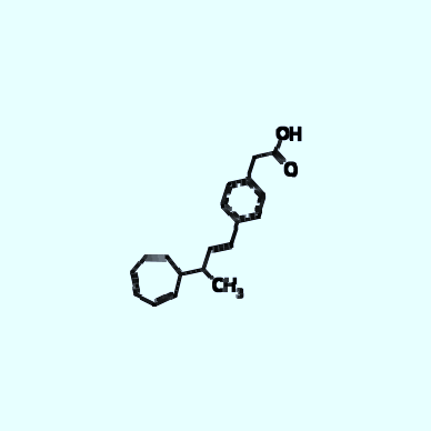 CC(/C=C/c1ccc(CC(=O)O)cc1)C1C=CC=CC=C1